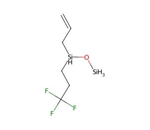 C=CC[SiH](CCC(F)(F)F)O[SiH3]